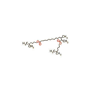 CC(C)CCCCOC(=O)CCCCCCCCCCCC(C)C(C)C(=O)OCCCCC(C)C